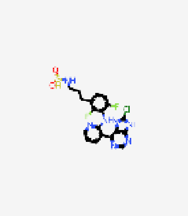 O=[SH](=O)NCCCc1ccc(F)c(Nc2ncccc2-c2ncnc3[nH]c(Cl)nc23)c1F